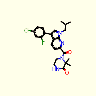 CC(C)Cn1cc(-c2ccc(Cl)cc2F)c2ccc(C(=O)N3CCNC(=O)C3(C)C)nc21